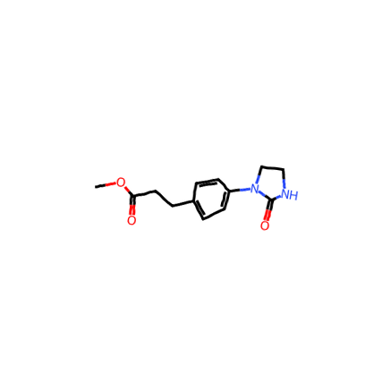 COC(=O)CCc1ccc(N2CCNC2=O)cc1